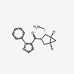 NC[C@@H]1[C@@H]2C[C@@H]2CN1C(=O)c1ccnn1-c1ccccc1